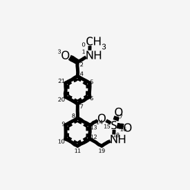 CNC(=O)c1ccc(-c2cccc3c2OS(=O)(=O)NC3)cc1